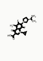 CC(N)[C@@H]1CCN(c2c(F)c(N)c3c(=O)c(C(=O)O)cn(C4CC4)c3c2F)C1